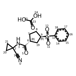 N#CC1(NC(=O)[C@@H]2CC[C@@H](S(=O)(=O)c3ccccc3)C2)CC1.O=C(O)O